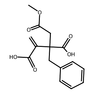 C=C(C(=O)O)C(CC(=O)OC)(Cc1ccccc1)C(=O)O